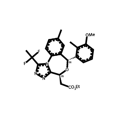 CCOC(=O)C[C@@H]1O[C@@H](c2cccc(OC)c2C)c2cc(C)ccc2-n2c1nnc2C(C)(F)F